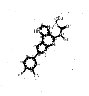 CCN(C(=O)OC(C)(C)C)c1nc2[nH]c(-c3ccc(F)c(C#N)c3)cc2c2[nH]cnc12